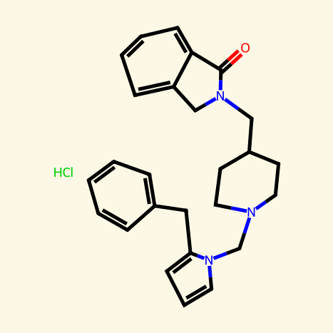 Cl.O=C1c2ccccc2CN1CC1CCN(Cn2cccc2Cc2ccccc2)CC1